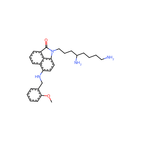 COc1ccccc1CNc1ccc2c3c(cccc13)C(=O)N2CCCC(N)CCCCN